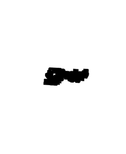 COc1c(CN2CCC(CC=O)C2)cc(Cl)c(OC2COc3ccc(-c4cccc(NC(=O)c5nc6c(n5C)CCN(C)C6)c4Cl)c(C)c32)c1F